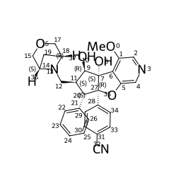 COc1cncc2c1[C@]1(O)[C@H](O)[C@H](CN3[C@@H]4COC[C@H]3C4)[C@@H](c3ccccc3)[C@]1(c1ccc(C#N)cc1)O2